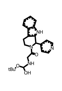 CC(C)(C)OC(O)NCC(=O)N1CCc2c([nH]c3ccccc23)C1c1ccncc1